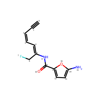 C#C/C=C\C=C(/CF)NC(=O)c1ccc(N)o1